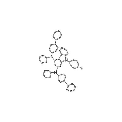 Fc1ccc(-n2c3ccccc3c3c(N(c4ccccc4)c4ccc(-c5ccccc5)cc4)cc(N(c4ccccc4)c4ccc(-c5ccccc5)cc4)cc32)cc1